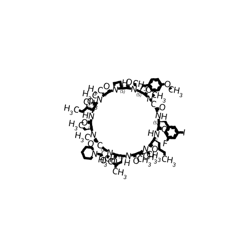 CCCC[C@@H]1NC(=O)[C@H](Cc2cc(F)cc(I)c2)NC(=O)CN(C)C(=O)[C@H](Cc2ccc(OC)cc2)N(C)C(=O)[C@@H]2CCN2C(=O)[C@H](C)N(C)C(=O)[C@H]([C@@H](C)CC)NC(=O)[C@H](CC)N(C)C(=O)C[C@@H](C(=O)N2CCCCC2)N(C)C(=O)[C@H](CC(C)C)NC(=O)C(C)(C)N(C)C1=O